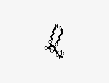 CC1(C)OC[C@@H]([C@H]2OC(=O)C(OCCCCC#N)=C2OCCCCC#N)O1